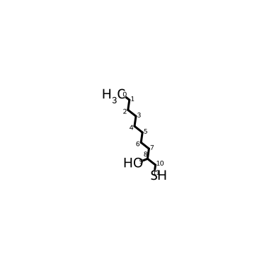 CCCCCCCCC(O)CS